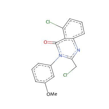 COc1cccc(-n2c(CCl)nc3cccc(Cl)c3c2=O)c1